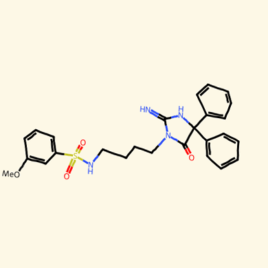 COc1cccc(S(=O)(=O)NCCCCN2C(=N)NC(c3ccccc3)(c3ccccc3)C2=O)c1